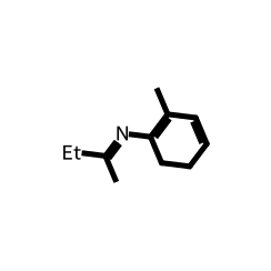 CC/C(C)=N/C1=C(C)C=CCC1